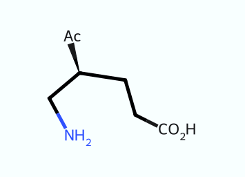 CC(=O)[C@H](CN)CCC(=O)O